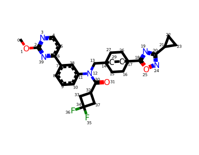 COc1nccc(-c2cccc(N(CC34CCC(c5nc(C6CC6)no5)(CC3)CC4)C(=O)C3CC(F)(F)C3)c2)n1